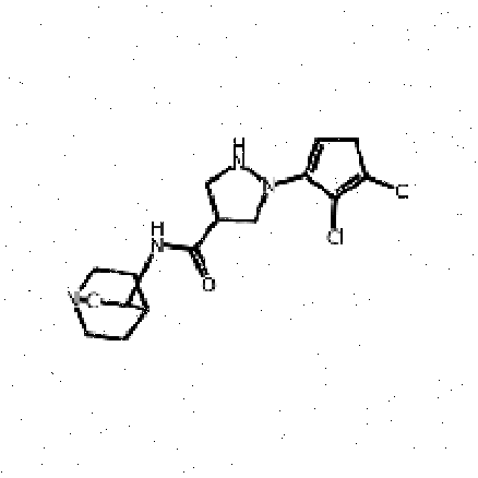 O=C(NC1CN2CCC1CC2)C1CNN(C2=CCC(Cl)=C2Cl)C1